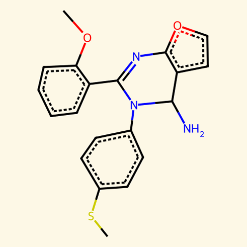 COc1ccccc1C1=Nc2occc2C(N)N1c1ccc(SC)cc1